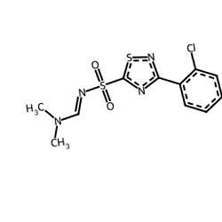 CN(C)C=NS(=O)(=O)c1nc(-c2ccccc2Cl)ns1